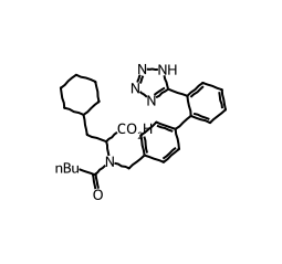 CCCCC(=O)N(Cc1ccc(-c2ccccc2-c2nnn[nH]2)cc1)C(CC1CCCCC1)C(=O)O